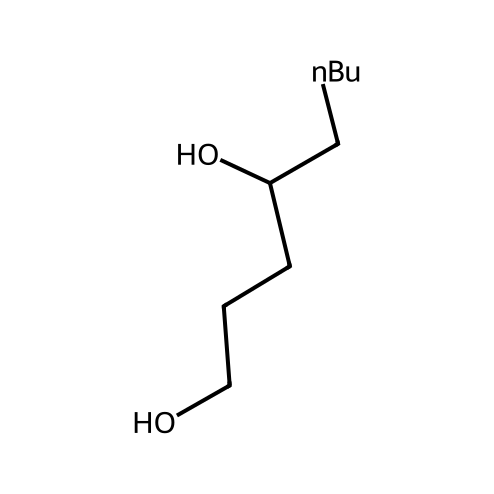 CCCCCC(O)CCCO